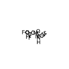 CSN1CCc2[nH]nc(C(=O)N3CCC(c4ccc(F)cc4C(F)(F)F)CC3)c2C1